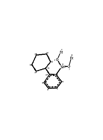 CCO[SiH](OCC)c1ccccc1C1CCCCC1